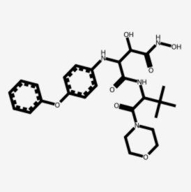 CC(C)(C)C(NC(=O)C(Nc1ccc(Oc2ccccc2)cc1)C(O)C(=O)NO)C(=O)N1CCOCC1